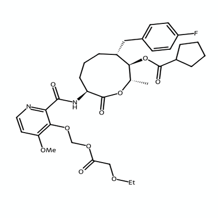 CCOCC(=O)OCOc1c(OC)ccnc1C(=O)N[C@H]1CCC[C@H](Cc2ccc(F)cc2)[C@@H](OC(=O)C2CCCC2)[C@H](C)OC1=O